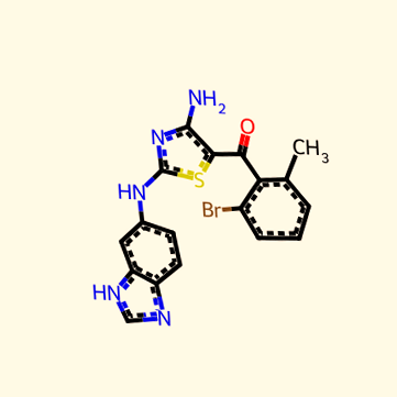 Cc1cccc(Br)c1C(=O)c1sc(Nc2ccc3nc[nH]c3c2)nc1N